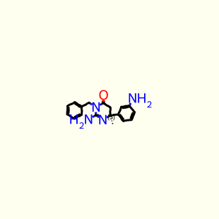 C[C@@]1(c2cccc(N)c2)CC(=O)N(Cc2ccccc2)C(N)=N1